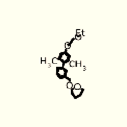 CCOCCOc1cc(C)c(-c2cccc(COC3CCCCO3)c2)c(C)c1